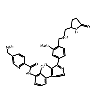 CNCc1ccc(C(=O)Nc2cccc(-c3ccnc(-c4ccc(CNCC5CCC(=O)N5)c(OC)c4)c3Cl)c2Cl)nc1